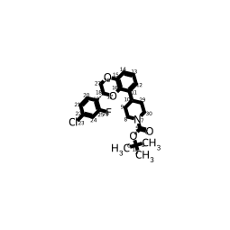 CC(C)(C)OC(=O)N1CCC(c2cccc3c2O[C@H](c2ccc(Cl)cc2F)CO3)CC1